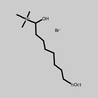 CCCCCCCCCCCCCCCC(O)[N+](C)(C)C.[Br-]